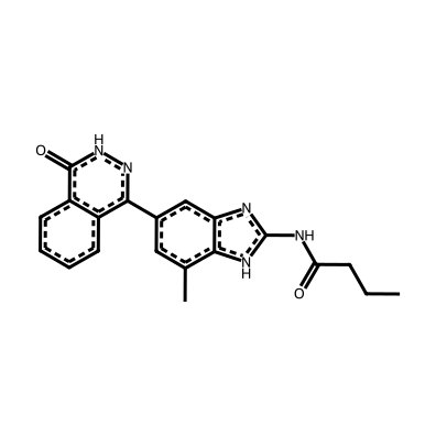 CCCC(=O)Nc1nc2cc(-c3n[nH]c(=O)c4ccccc34)cc(C)c2[nH]1